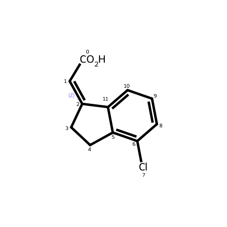 O=C(O)/C=C1/CCc2c(Cl)cccc21